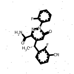 C[C@H](c1cc(=O)n(-c2ccccc2F)nc1C(N)=O)c1cccc(C#N)c1F